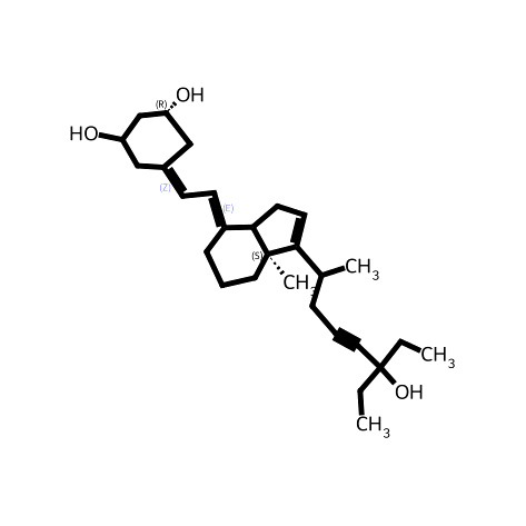 CCC(O)(C#CCC(C)C1=CCC2/C(=C/C=C3/CC(O)C[C@H](O)C3)CCC[C@]12C)CC